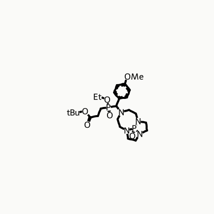 CCOP(=O)(CCC(=O)OC(C)(C)C)C(c1ccc(OC)cc1)N1CCN2CCN3CCN(CC1)P23=O